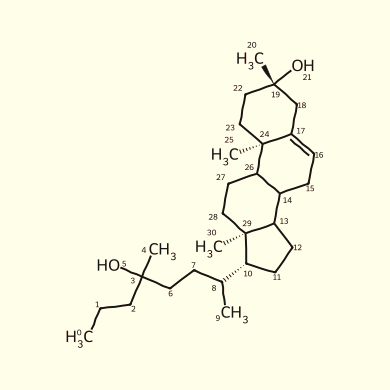 CCCC(C)(O)CCC(C)[C@H]1CCC2C3CC=C4C[C@@](C)(O)CC[C@]4(C)C3CC[C@@]21C